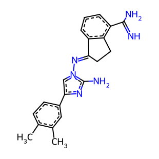 Cc1ccc(-c2cn(N=C3CCc4c(C(=N)N)cccc43)c(N)n2)cc1C